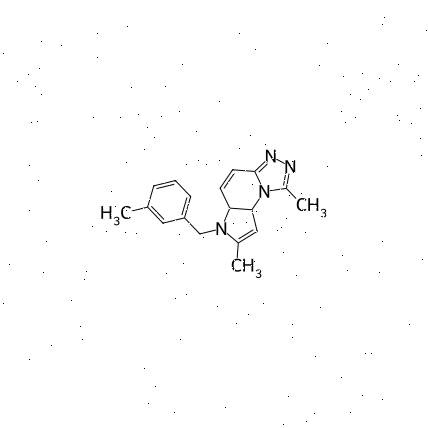 CC1=CC2C(C=Cc3nnc(C)n32)N1Cc1cccc(C)c1